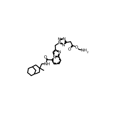 CC1(CNC(=O)c2cccc3nc(Cn4nnc(CC(=O)OCN)n4)cn23)CC2CCCC(C2)C1